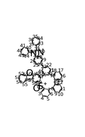 [O-][S+]1c2ccccc2-c2ccccc2-c2ccccc2-c2ccc(-c3ccc4c(c3)nc(-c3ccccc3)n4-c3ccccc3)cc2-c2cc3oc4ccccc4c3cc21